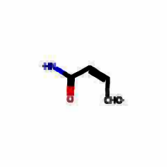 [NH]C(=O)/C=C\[C]=O